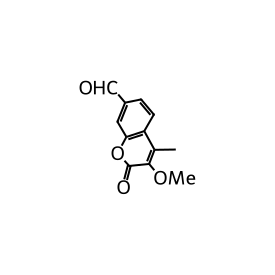 COc1c(C)c2ccc(C=O)cc2oc1=O